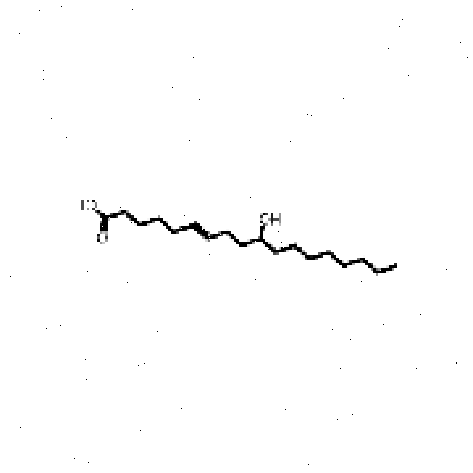 CCCCCCCCC(O)CCC=CCCCCC(=O)O